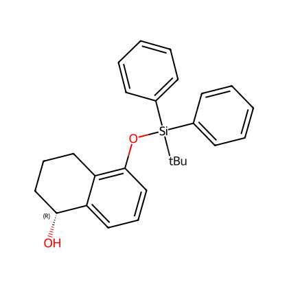 CC(C)(C)[Si](Oc1cccc2c1CCC[C@H]2O)(c1ccccc1)c1ccccc1